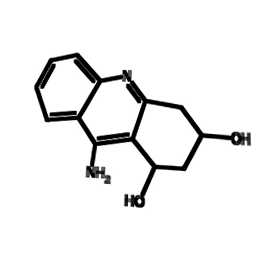 Nc1c2c(nc3ccccc13)CC(O)CC2O